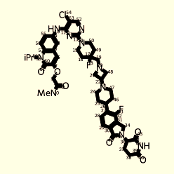 CNC(=O)COc1cc2cc(Nc3nc(N4CCC(F)(CN5CC(N6CCC(c7ccc8c(c7F)CN(C7CCC(=O)NC7=O)C8=O)CC6)C5)CC4)ncc3Cl)ccc2n(C(C)C)c1=O